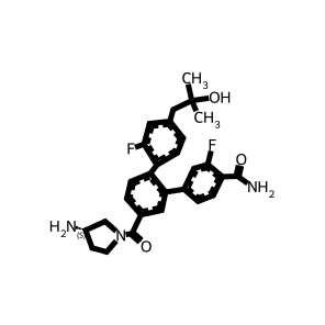 CC(C)(O)Cc1ccc(-c2ccc(C(=O)N3CC[C@H](N)C3)cc2-c2ccc(C(N)=O)c(F)c2)c(F)c1